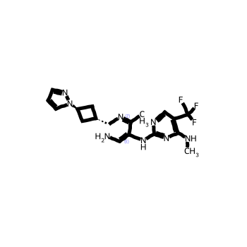 CNc1nc(NC(=C/N)/C(C)=N\C[C@H]2C[C@H](n3cccn3)C2)ncc1C(F)(F)F